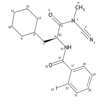 CN(C#N)C(=O)[C@H](CC1CCCCC1)NC(=O)c1ccccc1I